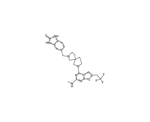 CNc1nc(N2CCC3(CCN(Cc4ccc5[nH]c(=S)[nH]c5c4)C3)C2)c2cc(CC(F)(F)F)sc2n1